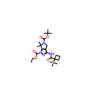 CCOC(=O)n1nc(NC(=O)C2([Si](C)(C)C)CCC2)c2c1C(C)(C)N(C(=O)OC(C)(C)C)C2